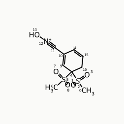 CS(=O)(=O)C1(S(C)(=O)=O)C=C(C#[N+]O)C=CC1